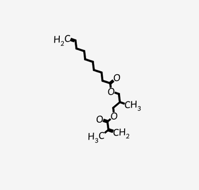 C=CCCCCCCCC(=O)OCC(C)COC(=O)C(=C)C